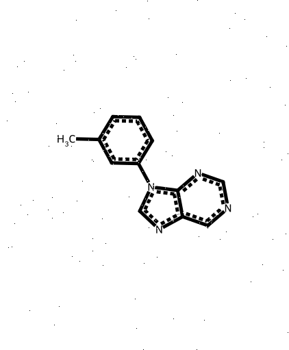 Cc1cccc(-n2cnc3[c]ncnc32)c1